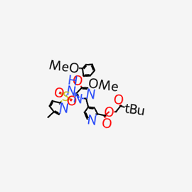 COc1ccccc1Oc1c(NS(=O)(=O)c2ccc(C)cn2)nc(-c2ccnc(C(=O)OCC(=O)C(C)(C)C)c2)nc1OC